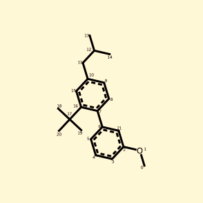 COc1cccc(-c2ccc(CC(C)C)cc2C(C)(C)C)c1